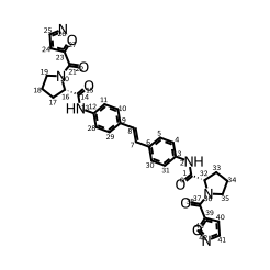 O=C(Nc1ccc(/C=C/c2ccc(NC(=O)[C@@H]3CCCN3C(=O)c3ccno3)cc2)cc1)[C@@H]1CCCN1C(=O)c1ccno1